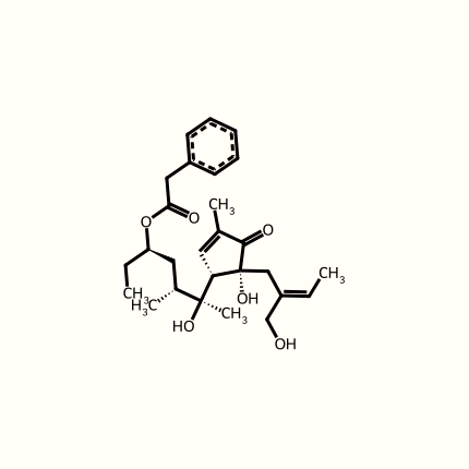 C/C=C(/CO)C[C@]1(O)C(=O)C(C)=C[C@H]1[C@@](C)(O)[C@H](C)C[C@@H](CC)OC(=O)Cc1ccccc1